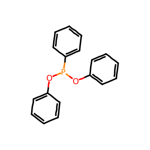 c1ccc(OP(Oc2ccccc2)c2ccccc2)cc1